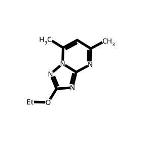 CCOc1nc2nc(C)cc(C)n2n1